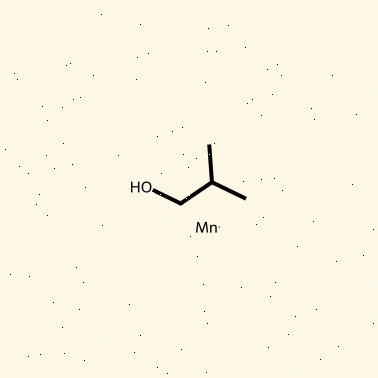 CC(C)CO.[Mn]